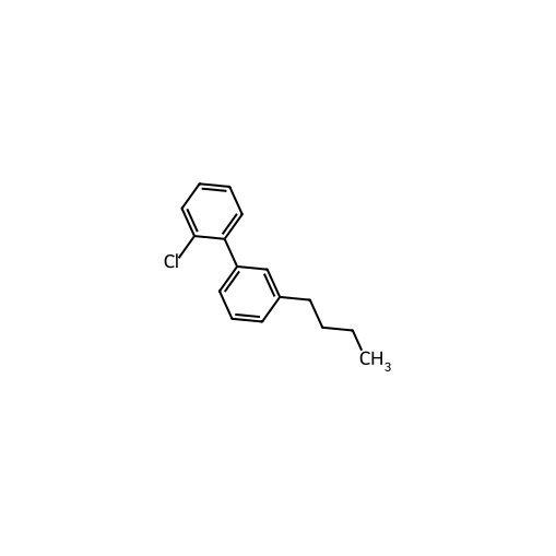 CCCCc1cccc(-c2ccccc2Cl)c1